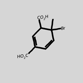 CC1(Br)C=CC(C(=O)O)=CC1C(=O)O